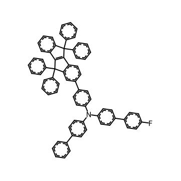 Fc1ccc(-c2ccc(N(c3ccc(-c4ccccc4)cc3)c3ccc(-c4ccc5c(c4)C(c4ccccc4)(c4ccccc4)C4=C5C(c5ccccc5)(c5ccccc5)c5ccccc54)cc3)cc2)cc1